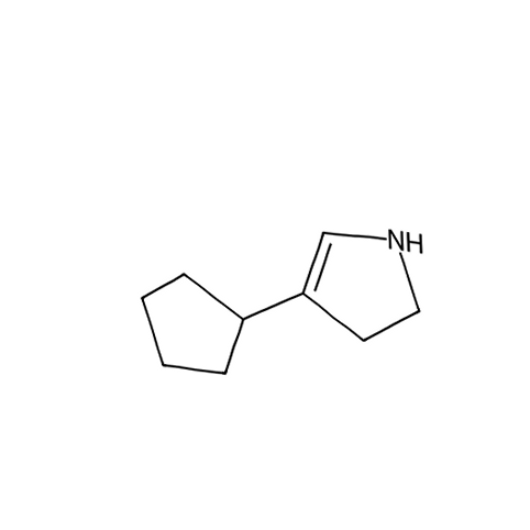 C1=C(C2CCCC2)CCN1